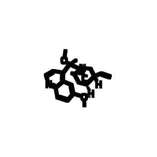 C=C[C@H]1CN2C(C)C[C@H]1C[C@]2(C)[C@@](C)(OC)c1ccnc2ccc(OC)cc12